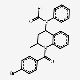 CCC(=O)N(c1ccccc1)C1CC(C)N(C(=O)c2ccc(Br)cc2)c2ccccc21